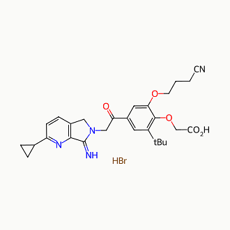 Br.CC(C)(C)c1cc(C(=O)CN2Cc3ccc(C4CC4)nc3C2=N)cc(OCCCC#N)c1OCC(=O)O